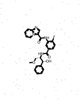 COC[C@H](NC(=O)c1ccc(F)c(NC(=O)c2cnc3ccccn23)c1)[C@H](O)c1ccccc1